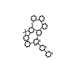 CC1(C)c2ccccc2-c2cc3c(cc21)Sc1ccccc1-c1ccccc1-c1ccccc1-c1ccc(-c2cc(-c4ccccc4)nc(-c4ccc(-c5cccnc5)nc4)n2)cc1-3